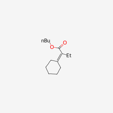 CCCCOC(=O)C(CC)=C1CCCCC1